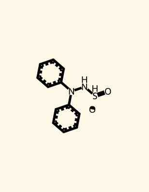 O=[SH](=O)NN(c1ccccc1)c1ccccc1